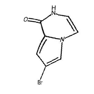 O=c1[nH]ccn2cc(Br)cc12